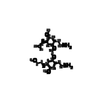 COCCSc1cc(OC)c(CCN)cc1OC.COc1cc(SC2CC2)c(OC)cc1CCN